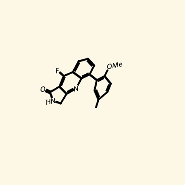 COc1ccc(C)cc1-c1cccc2c(F)c3c(nc12)CNC3=O